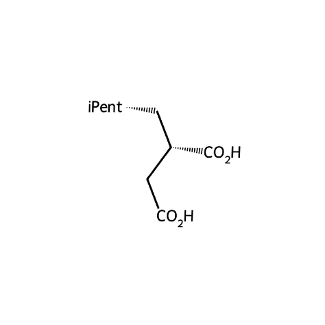 CCC[C@@H](C)C[C@@H](CC(=O)O)C(=O)O